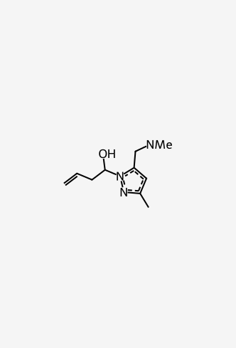 C=CCC(O)n1nc(C)cc1CNC